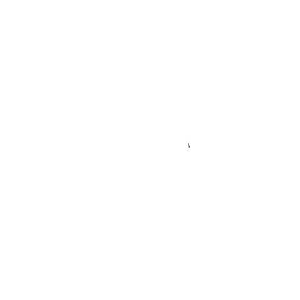 Cc1ccc2c(c1)CCC(C1CCC3C[C@H](C)CC[C@@H]3C1)C2